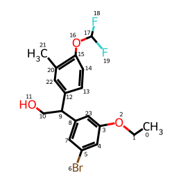 CCOc1cc(Br)cc(C(CO)c2ccc(OC(F)F)c(C)c2)c1